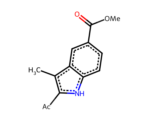 COC(=O)c1ccc2[nH]c(C(C)=O)c(C)c2c1